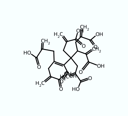 C=C(CC(CC(=C)C(=O)O)=C(C(=O)O)C(CC(=C)C(=O)O)(CC(=C)C(=O)O)C(CC(=C)C(=O)O)C(=C)C(=O)O)C(=O)O